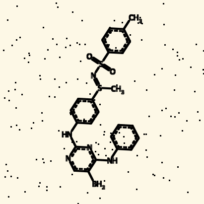 Bc1cnc(Nc2ccc(S(C)=NS(=O)(=O)c3ccc(C)cc3)cc2)nc1Nc1ccccc1